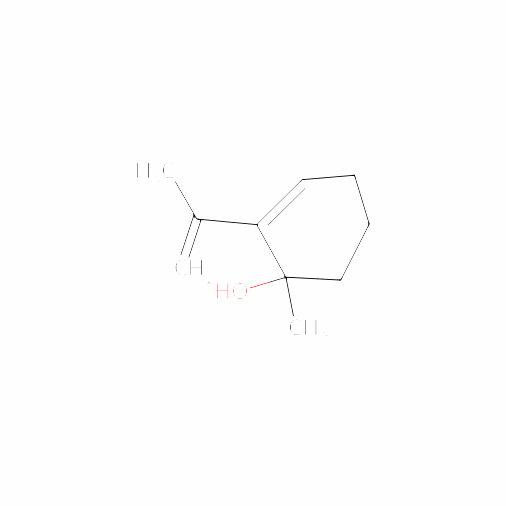 C=C(C)C1=CCCCC1(C)O